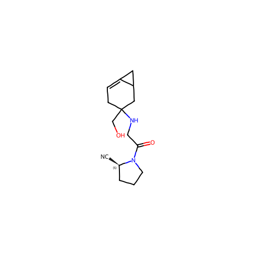 N#C[C@@H]1CCCN1C(=O)CNC1(CO)CC=C2CC2C1